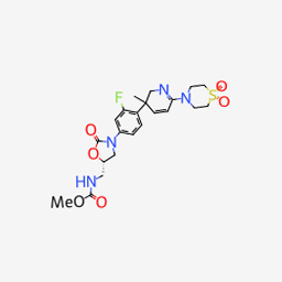 COC(=O)NC[C@H]1CN(c2ccc(C3(C)C=CC(N4CCS(=O)(=O)CC4)=NC3)c(F)c2)C(=O)O1